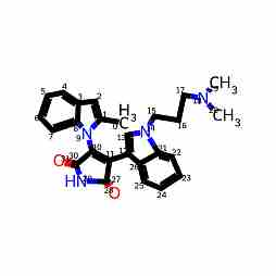 Cc1cc2ccccc2n1C1=C(c2cn(CCCN(C)C)c3ccccc23)C(=O)NC1=O